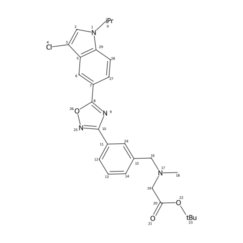 CC(C)n1cc(Cl)c2cc(-c3nc(-c4cccc(CN(C)CC(=O)OC(C)(C)C)c4)no3)ccc21